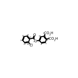 O=C(Oc1ccc(C(=O)O)c(C(=O)O)c1)c1ccccc1Cl